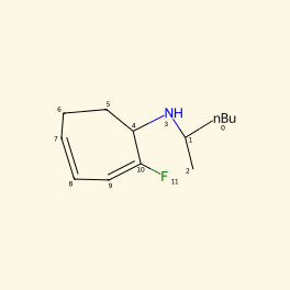 CCCCC(C)NC1CCC=CC=C1F